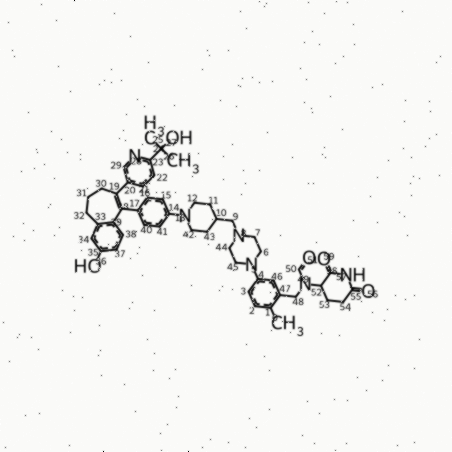 Cc1ccc(N2CCN(CC3CCN(c4ccc(C5=C(c6ccc(C(C)(C)O)nc6)CCCc6cc(O)ccc65)cc4)CC3)CC2)cc1CN(C=O)C1CCC(=O)NC1=O